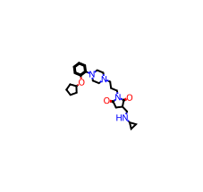 O=C1CC(CNC2CC2)C(=O)N1CCCN1CCN(c2ccccc2OC2CCCC2)CC1